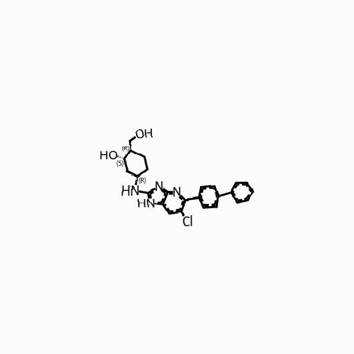 OC[C@H]1CC[C@@H](Nc2nc3nc(-c4ccc(-c5ccccc5)cc4)c(Cl)cc3[nH]2)C[C@@H]1O